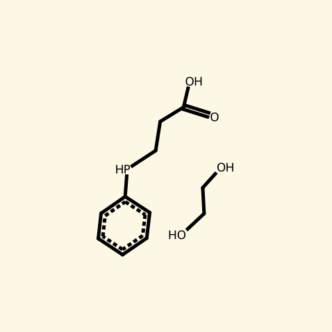 O=C(O)CCPc1ccccc1.OCCO